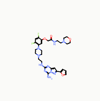 Nc1nc(NCCN2CCN(c3cc(OCC(=O)NCCN4CCOCC4)c(F)cc3F)CC2)nc2cc(-c3ccco3)nn12